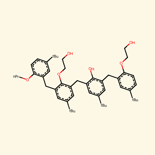 CCCOc1ccc(C(C)(C)C)cc1Cc1cc(C(C)(C)C)cc(Cc2cc(C(C)(C)C)cc(Cc3cc(C(C)(C)C)ccc3OCCO)c2O)c1OCCO